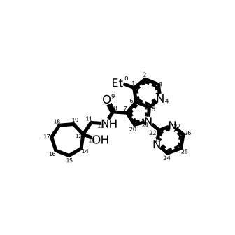 CCc1ccnc2c1c(C(=O)NCC1(O)CCCCCC1)cn2-c1ncccn1